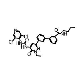 CCCCNC(=O)c1cccc(-c2cccc(-c3cc(NC(=O)Nc4c(Cl)cncc4Cl)c(=O)n(CC)n3)c2)c1